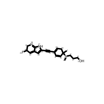 CN(CCCO)C1(C)C=CC(C#Cc2cc3c([nH]2)=NCC(F)C=3)=CC1